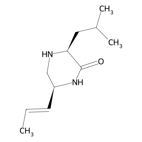 C/C=C/[C@H]1CN[C@@H](CC(C)C)C(=O)N1